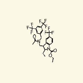 CCOC(=O)N1c2ccc(C(F)(F)F)cc2C(CN(Cc2cc(C(F)(F)F)cc(C(F)(F)F)c2)C(C)=O)C1CC